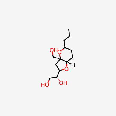 CCC[C@H]1CC[C@@H]2OC([C@H](O)CO)C[C@]2(CO)O1